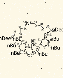 CCCCC1=C(c2cc(CCCC)c(CCCC)c(CCCC)c2)[N+](=[N-])C(c2cc(CCCC)c(CCCC)c(CCCC)c2)=C1CC.CCCCCCCCCCCCCCC[CH2][Ni][CH2]CCCCCCCCCCCCCCC